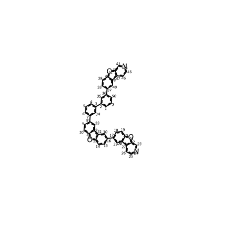 c1cc(-c2cccc(-c3ccc4oc5ccc(-c6ccc7oc8cnccc8c7c6)cc5c4c3)c2)cc(-c2ccc3oc4cnccc4c3c2)c1